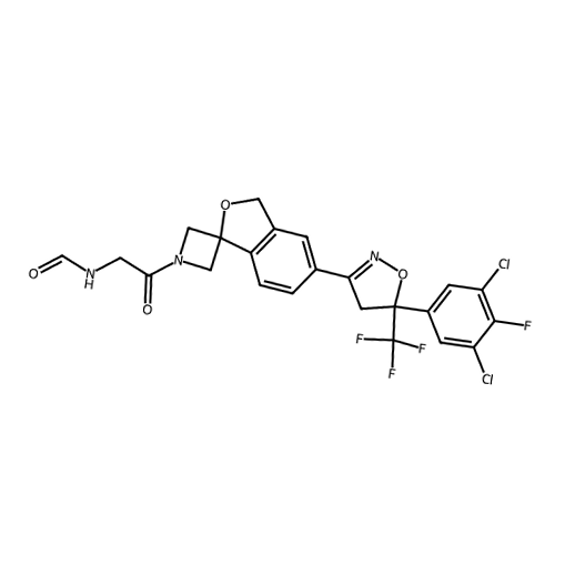 O=CNCC(=O)N1CC2(C1)OCc1cc(C3=NOC(c4cc(Cl)c(F)c(Cl)c4)(C(F)(F)F)C3)ccc12